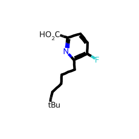 CC(C)(C)CCCCc1nc(C(=O)O)ccc1F